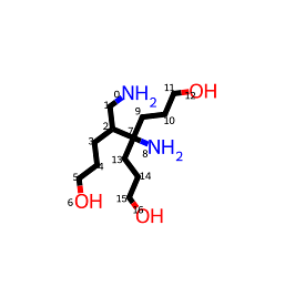 NCC(CCCO)C(N)(CCCO)CCCO